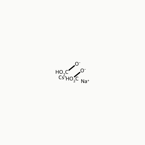 O=C([O-])O.O=C([O-])O.[Cs+].[Na+]